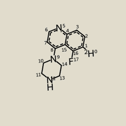 [2H]c1ccc2nccc(N3CCNCC3)c2c1F